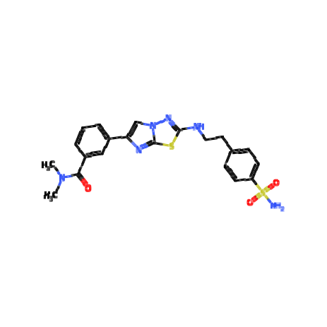 CN(C)C(=O)c1cccc(-c2cn3nc(NCCc4ccc(S(N)(=O)=O)cc4)sc3n2)c1